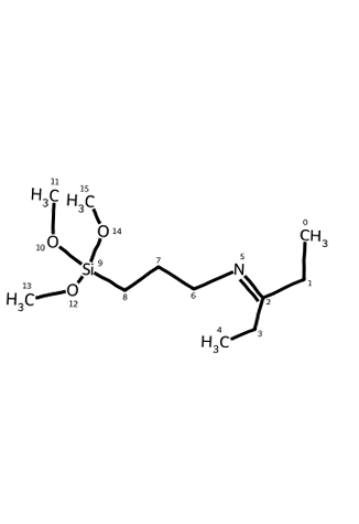 CCC(CC)=NCCC[Si](OC)(OC)OC